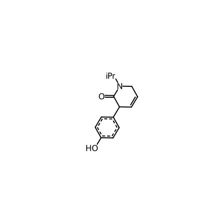 CC(C)N1CC=CC(c2ccc(O)cc2)C1=O